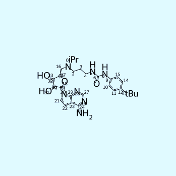 CC(C)N(CCCNC(=O)Nc1ccc(C(C)(C)C)cc1)C[C@H]1O[C@H](n2ccc3c(N)ncnc32)[C@H](O)[C@@H]1O